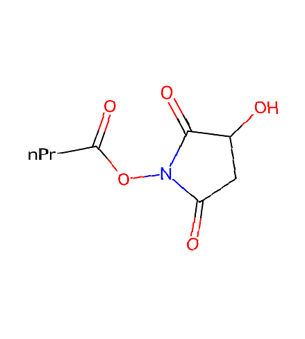 CCCC(=O)ON1C(=O)CC(O)C1=O